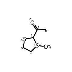 CC(=O)C1SCC[S+]1[O-]